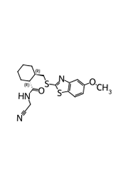 COc1ccc2sc(SC[C@@H]3CCCC[C@H]3C(=O)NCC#N)nc2c1